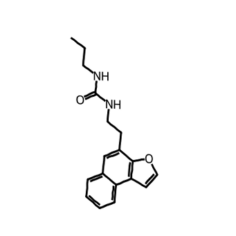 CCCNC(=O)NCCc1cc2ccccc2c2ccoc12